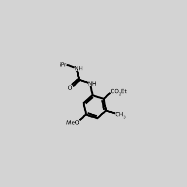 CCOC(=O)c1c(C)cc(OC)cc1NC(=O)NC(C)C